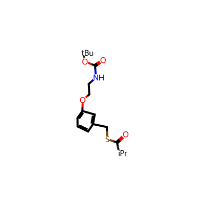 CC(C)C(=O)SCc1cccc(OCCNC(=O)OC(C)(C)C)c1